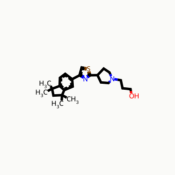 CC1(C)CC(C)(C)c2cc(-c3csc(C4CCN(CCCO)CC4)n3)ccc21